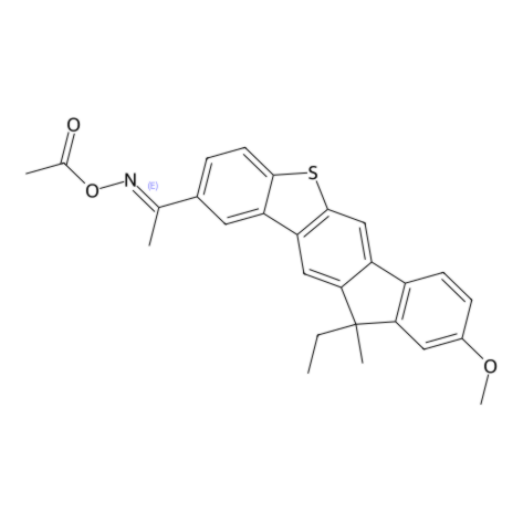 CCC1(C)c2cc(OC)ccc2-c2cc3sc4ccc(/C(C)=N/OC(C)=O)cc4c3cc21